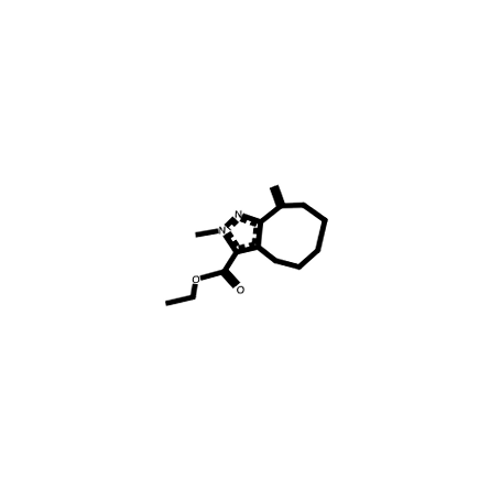 C=C1CCCCCc2c1nn(C)c2C(=O)OCC